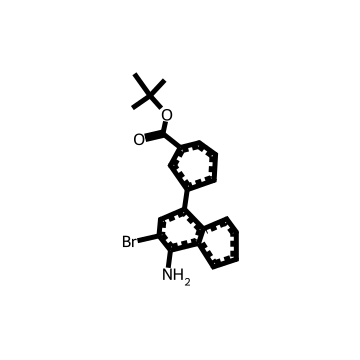 CC(C)(C)OC(=O)c1cccc(-c2cc(Br)c(N)c3ccccc23)c1